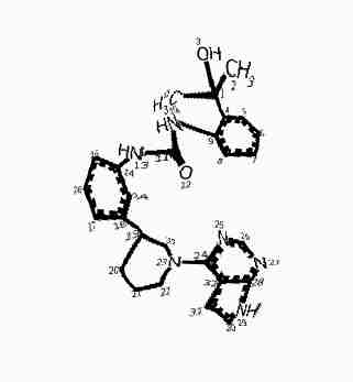 CC(C)(O)c1ccccc1NC(=O)Nc1cccc(C2CCCN(c3ncnc4[nH]ccc34)C2)c1